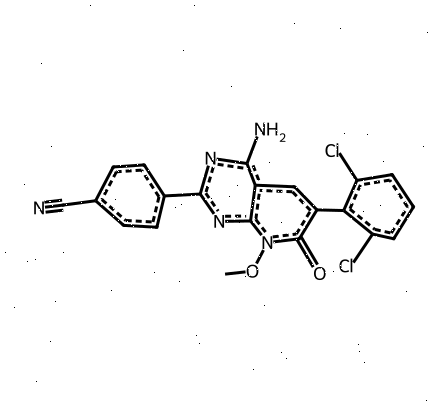 COn1c(=O)c(-c2c(Cl)cccc2Cl)cc2c(N)nc(-c3ccc(C#N)cc3)nc21